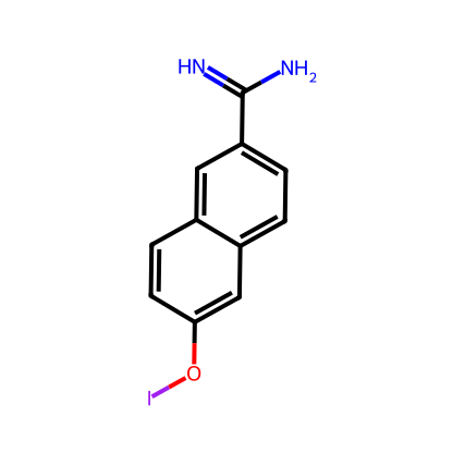 N=C(N)c1ccc2cc(OI)ccc2c1